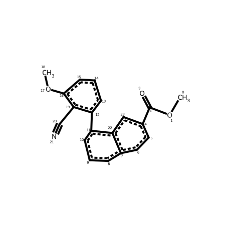 COC(=O)c1ccc2cccc(-c3cccc(OC)c3C#N)c2c1